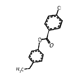 CCc1ccc(OC(=O)c2ccc(Cl)cc2)cc1